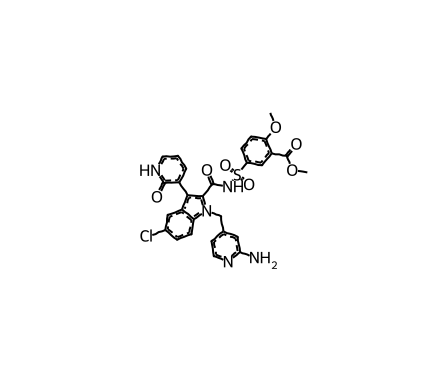 COC(=O)c1cc(S(=O)(=O)NC(=O)c2c(-c3ccc[nH]c3=O)c3cc(Cl)ccc3n2Cc2ccnc(N)c2)ccc1OC